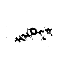 CC(=O)N/N=C(\C=C\Nc1cc(C)n(C)n1)c1ccc(F)c(NC(=O)c2cnc(C(C)(C)C)cn2)c1